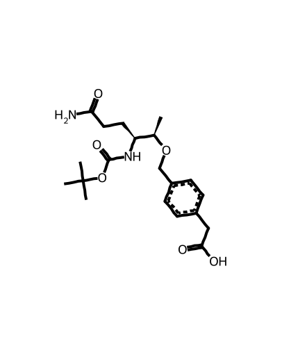 C[C@@H](OCc1ccc(CC(=O)O)cc1)[C@H](CCC(N)=O)NC(=O)OC(C)(C)C